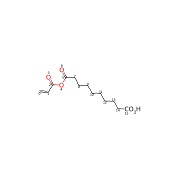 C=CC(=O)OC(=O)CCCCCCCCC(=O)O